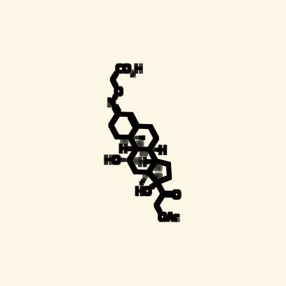 CC(=O)OCC(=O)[C@@]1(O)CC[C@H]2[C@@H]3CCC4=CC(=NOCC(=O)O)CC[C@]4(C)[C@H]3[C@@H](O)C[C@@]21C